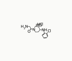 Cl.Cl.NCC(=O)N1CCC(Nc2ccccc2Cl)CC1